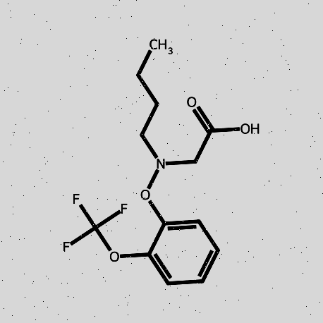 CCCCN(CC(=O)O)Oc1ccccc1OC(F)(F)F